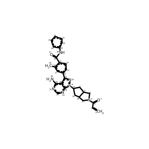 C=CC(=O)N1CC2CC(n3nc(-c4ccc(C(=O)Nc5ccccc5)c(C)c4)c4c(N)ncnc43)CC2C1